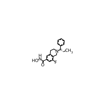 CC[C@@H](c1ccccc1)N1CCc2cc(C(=O)NO)cc(F)c2C1